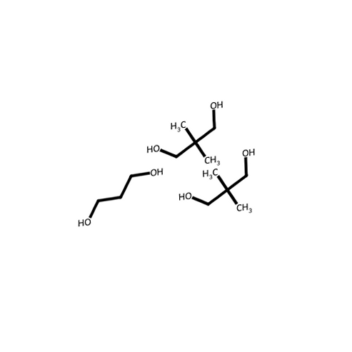 CC(C)(CO)CO.CC(C)(CO)CO.OCCCO